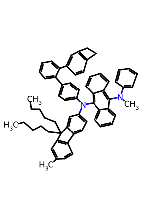 CCCCCC1(CCCCC)c2cc(C)ccc2-c2ccc(N(c3ccc(-c4ccccc4-c4ccc5c(c4)CC5)cc3)c3c4ccccc4c(N(C)c4ccccc4)c4ccccc34)cc21